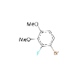 COc1ccc(Br)c(F)c1OC